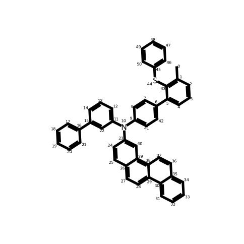 Cc1cccc(-c2ccc(N(c3cccc(-c4ccccc4)c3)c3ccc4ccc5c6ccccc6ccc5c4c3)cc2)c1Sc1ccccc1